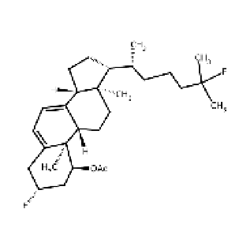 CC(=O)O[C@H]1C[C@H](F)CC2=CC=C3[C@@H]4CC[C@H]([C@H](C)CCCC(C)(C)F)[C@@]4(C)CC[C@@H]3[C@]21C